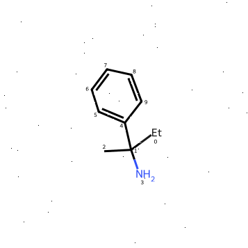 [CH2]CC(C)(N)c1ccccc1